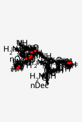 CCCCCCCCCCCCCC(=O)N[C@@H](CCN)C(=O)N(C)[C@@H]1C(=O)N[C@@H](C)C(=O)N[C@H](C(=O)N[C@@H](C)B2O[C@@H]3C[C@@H]4C[C@@H](C4(C)C)[C@]3(C)O2)Cc2ccc(OCCNNCCC[C@H](NC(=O)c3ccc(CCCCCCCC)cc3)C(=O)N(C)[C@@H]3C(=O)N[C@@H](C)C(=O)N[C@H](C(=O)NCB4O[C@@H]5C[C@@H]6C[C@@H](C6(C)C)[C@]5(C)O4)Cc4ccc(OCCN)c(c4)-c4cc3ccc4OCCN)c(c2)-c2cc1ccc2OCCN